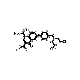 CC(C)n1cc(C(=O)N=O)c(=O)c2cc(-c3ccc(CN(CCCl)CCCl)cc3)ccc21